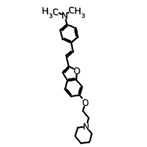 CN(C)c1ccc(C=Cc2cc3ccc(OCCN4CCCCC4)cc3o2)cc1